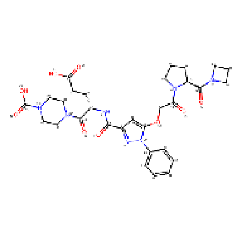 O=C(O)CC[C@H](NC(=O)c1cc(OCC(=O)N2CCC[C@H]2C(=O)N2CCC2)n(-c2ccccc2)n1)C(=O)N1CCN(C(=O)O)CC1